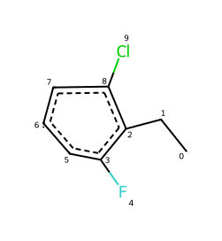 CCc1c(F)c[c]cc1Cl